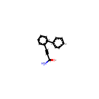 NC(=O)C#Cc1ccccc1-c1ccccc1